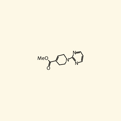 COC(=O)C1=CCN(c2ncccn2)CC1